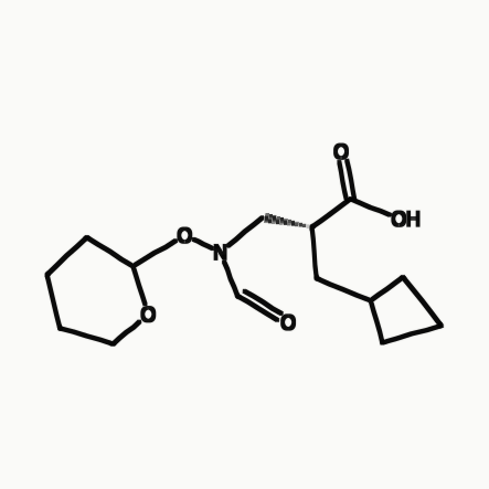 O=CN(C[C@@H](CC1CCC1)C(=O)O)OC1CCCCO1